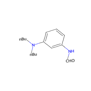 CCCCN(CCCC)c1cccc(NC=O)c1